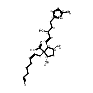 NC(=O)[C@@]1(C/C=C\CCC[C]=O)[C@@H](O)C[C@@H](O)[C@@H]1/C=C/[C@@H](O)CCc1ccc(Br)s1